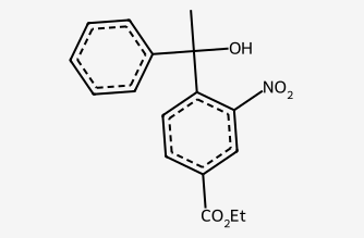 CCOC(=O)c1ccc(C(C)(O)c2ccccc2)c([N+](=O)[O-])c1